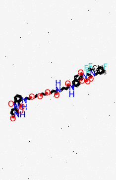 C[C@@H](N(Cc1ccc(F)cc1)C(=O)CN1C(=O)O[C@@]2(CCc3cc(NC(=O)CCCNC(=O)CCOCCOCCOCCNc4cccc5c4C(=O)N(C4CCC(=O)NC4=O)C5=O)ccc32)C1=O)C(F)(F)F